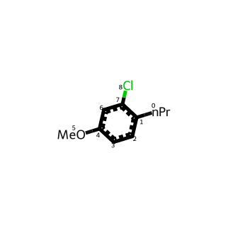 CCCc1ccc(OC)cc1Cl